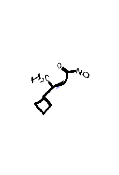 C/C(=C\C(=O)N=O)C1CCC1